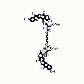 CCc1c2c(nc3ccc(O)cc13)-c1cc3c(c(=O)n1C2)COC(=O)[C@]3(CC)OC(=O)C(CSSC)NC(=O)OCCCCCOC(=O)NC(CSSC)C(=O)O[C@]1(CC)C(=O)OCc2c1cc1n(c2=O)Cc2c-1nc1ccc(O)cc1c2CC